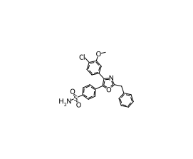 COc1cc(-c2nc(Cc3ccccc3)oc2-c2ccc(S(N)(=O)=O)cc2)ccc1Cl